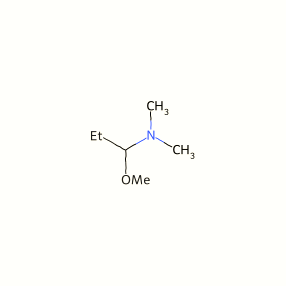 CCC(OC)N(C)C